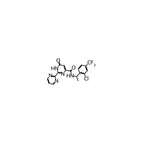 CC(NC(=O)c1cc(=O)[nH]c(-c2ncccn2)n1)c1ccc(C(F)(F)F)cc1Cl